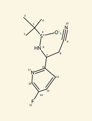 CC(C)(C)[S+]([O-])NC(CC#N)c1ccc(F)cn1